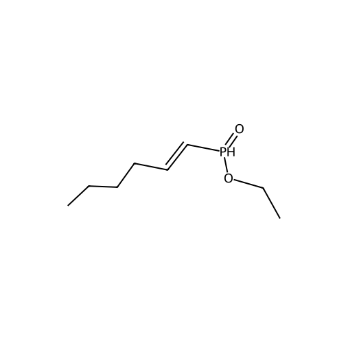 CCCCC=C[PH](=O)OCC